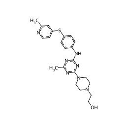 Cc1cc(Sc2ccc(Nc3nc(C)nc(N4CCN(CCO)CC4)n3)cc2)ccn1